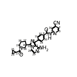 N#Cc1ccnc(NC(=O)c2ccc(-c3nc(C4CCCN(C(=O)C5CC5)C4)n4ccnc(N)c34)cc2)c1